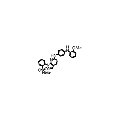 CNS(=O)(=O)c1ccccc1-n1ncc2cnc(Nc3ccc(Nc4ccccc4OC)cc3)nc21